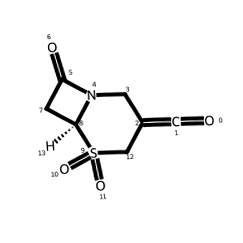 O=C=C1CN2C(=O)C[C@@H]2S(=O)(=O)C1